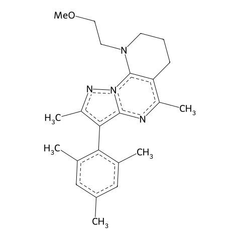 COCCN1CCCc2c(C)nc3c(-c4c(C)cc(C)cc4C)c(C)nn3c21